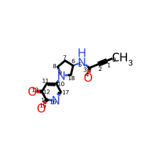 CC#CC(=O)N[C@@H]1CCN(C2=CC(=O)C(=O)N=C2)C1